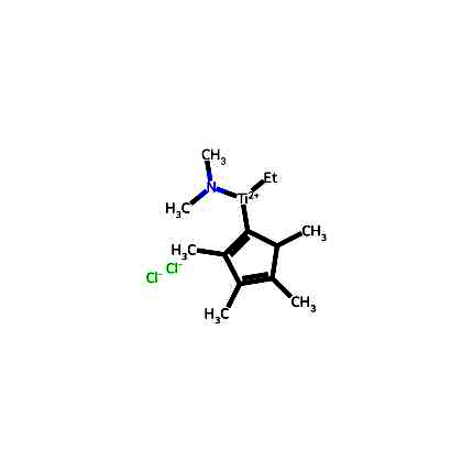 C[CH2][Ti+2]([C]1=C(C)C(C)=C(C)C1C)[N](C)C.[Cl-].[Cl-]